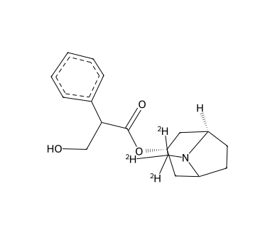 [2H]C([2H])([2H])N1C2CC[C@@H]1C[C@@H](OC(=O)C(CO)c1ccccc1)C2